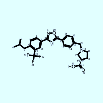 CC(C)Cc1ccc(-c2noc(-c3ccc(CN4CC[C@@H](C(=O)O)C4)cc3)n2)cc1C(F)(F)F